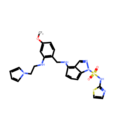 O=S(=O)(Nc1nccs1)n1ncc2c(NCc3ccc(OC(F)(F)F)cc3NCCn3cccc3)cccc21